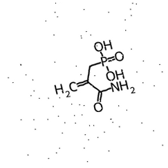 C=C(CP(=O)(O)O)C(N)=O